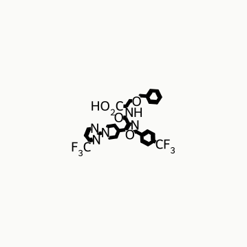 O=C(NC(COCc1ccccc1)C(=O)O)c1nc(-c2ccc(C(F)(F)F)cc2)oc1C1CCN(c2nccc(C(F)(F)F)n2)CC1